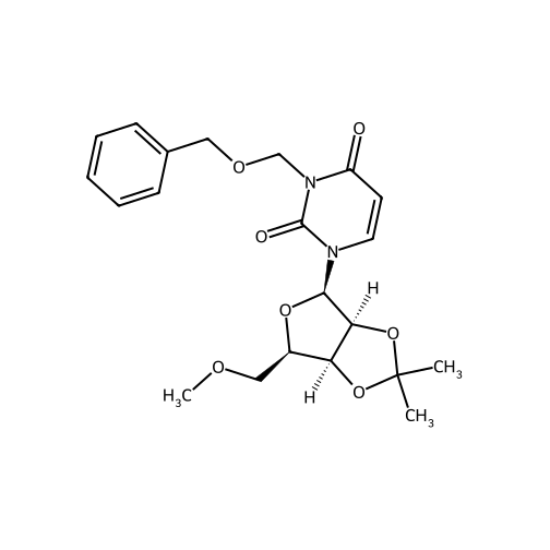 COC[C@H]1O[C@@H](n2ccc(=O)n(COCc3ccccc3)c2=O)[C@H]2OC(C)(C)O[C@H]21